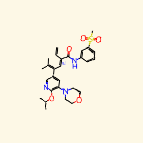 C=C/C(=C\C(=C(C)C)c1cnc(OC(C)C)c(N2CCOCC2)c1)C(=O)Nc1cccc(S(C)(=O)=O)c1